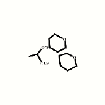 C1CCOCC1.C1CCOCC1.COC(C)OC